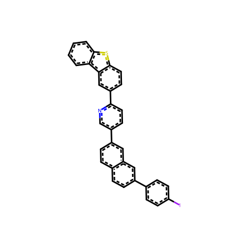 Ic1ccc(-c2ccc3ccc(-c4ccc(-c5ccc6sc7ccccc7c6c5)nc4)cc3c2)cc1